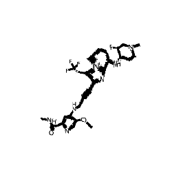 CNC(=O)c1cc(NCC#Cc2nc3c(N[C@@H]4CCN(C)C[C@@H]4F)cccn3c2SC(F)(F)F)c(OC)cn1